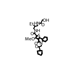 CCC(CNC(=O)CO)CNC(=O)c1sc2c(c1OC)c(=O)n(CC(=O)c1ccccc1)c1ccccc21